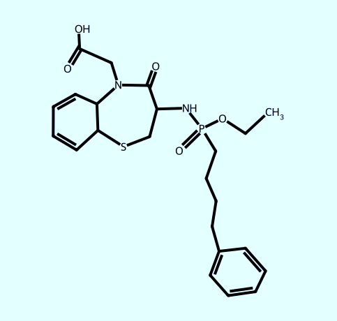 CCOP(=O)(CCCCc1ccccc1)NC1CSC2C=CC=CC2N(CC(=O)O)C1=O